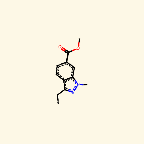 CCc1nn(C)c2cc(C(=O)OC)ccc12